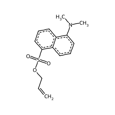 C=CCOS(=O)(=O)c1cccc2c(N(C)C)cccc12